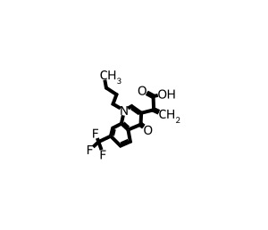 C=C(C(=O)O)c1cn(CCCC)c2cc(C(F)(F)F)ccc2c1=O